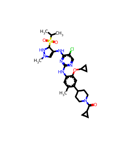 Cc1cc(Nc2ncc(Cl)c(NC3=CN(C)NC3S(=O)(=O)C(C)C)n2)c(OC2CC2)cc1C1CCN(C(=O)C2CC2)CC1